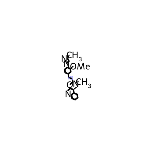 COc1cc(/C=C/C(=O)N(C)Cc2ccnc3ccccc23)ccc1-n1cnc(C)c1